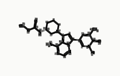 CCn1cc(-c2cc(N3CCC[C@@H](NC(=O)OC(C)(C)C)C3)c3c(N)ncnn23)cc(C)c1=O